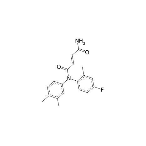 Cc1ccc(N(C(=O)C=CC(N)=O)c2ccc(F)cc2C)cc1C